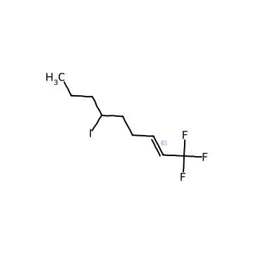 CCCC(I)CC/C=C/C(F)(F)F